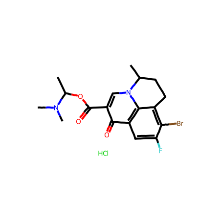 CC(OC(=O)c1cn2c3c(c(Br)c(F)cc3c1=O)CCC2C)N(C)C.Cl